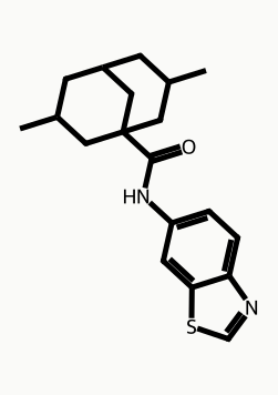 CC1CC2CC(C)CC(C(=O)Nc3ccc4ncsc4c3)(C1)C2